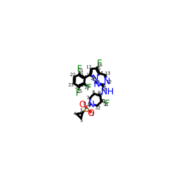 O=S(=O)(C1CC1)N1CC[C@@H](Nc2ncc3c(F)cc(-c4c(F)ccc(F)c4F)n3n2)[C@H](F)C1